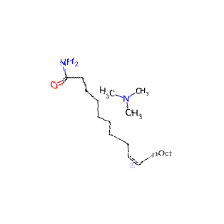 CCCCCCCC/C=C\CCCCCCCC(N)=O.CN(C)C